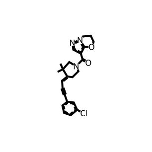 CC1(C)CN(C(=O)c2cnn3c2OCCC3)CC/C1=C\C#Cc1cccc(Cl)c1